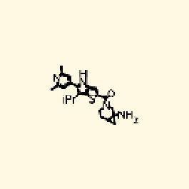 Cc1cc(-c2[nH]c3cc(C(=O)N4CCC5CC5(N)C4)sc3c2C(C)C)cc(C)n1